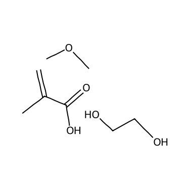 C=C(C)C(=O)O.COC.OCCO